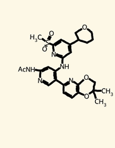 CC(=O)Nc1cc(Nc2cc(C3CCCOC3)cc(S(C)(=O)=O)n2)c(-c2ccc3c(n2)OCC(C)(C)O3)cn1